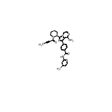 CC#CC(=O)N1CCCCC1c1nc(-c2ccc(C(=O)Nc3cc(C)ccn3)cc2)c2c(N)nccn12